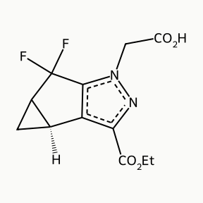 CCOC(=O)c1nn(CC(=O)O)c2c1[C@H]1CC1C2(F)F